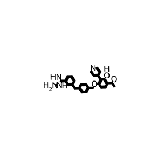 CC(=O)c1ccc(OCc2ccc(Cc3cccc(C(=N)NN)c3)cc2)c(-c2ccncc2)c1O